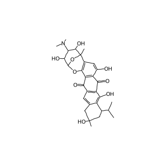 CC(C)C1CC(C)(O)Cc2cc3c(c(O)c21)C(=O)c1c(O)cc2c(c1C3=O)OC1OC2(C)C(O)C(N(C)C)C1O